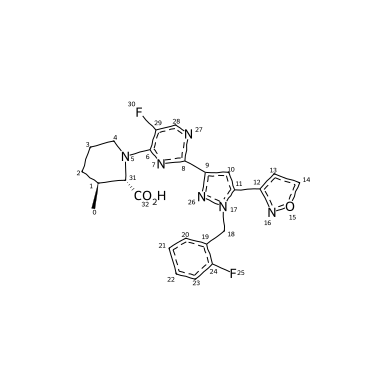 C[C@H]1CCCN(c2nc(-c3cc(-c4ccon4)n(Cc4ccccc4F)n3)ncc2F)[C@@H]1C(=O)O